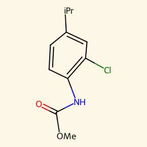 COC(=O)Nc1ccc(C(C)C)cc1Cl